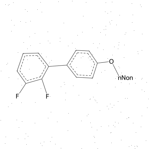 CCCCCCCCCOc1ccc(-c2cccc(F)c2F)cc1